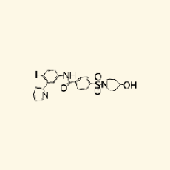 O=C(Nc1ccc(I)c(-c2ccccn2)c1)c1ccc(S(=O)(=O)N2CCC(O)CC2)cc1